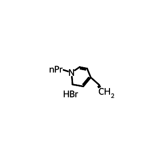 Br.C=CC1=CCN(CCC)C=C1